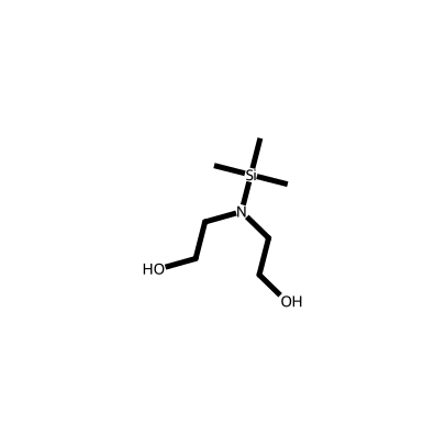 C[Si](C)(C)N(CCO)CCO